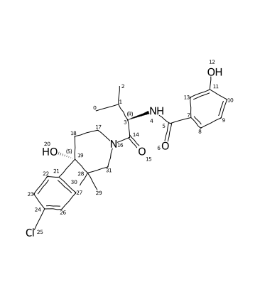 CC(C)[C@@H](NC(=O)c1cccc(O)c1)C(=O)N1CC[C@](O)(c2ccc(Cl)cc2)C(C)(C)C1